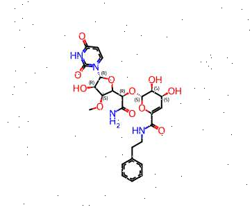 CO[C@@H]1C([C@@H](O[C@H]2OC(C(=O)NCCc3ccccc3)=C[C@H](O)[C@@H]2O)C(N)=O)O[C@@H](n2ccc(=O)[nH]c2=O)[C@@H]1O